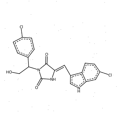 O=C1NC(=Cc2c[nH]c3cc(Cl)ccc23)C(=O)N1C(CO)c1ccc(Cl)cc1